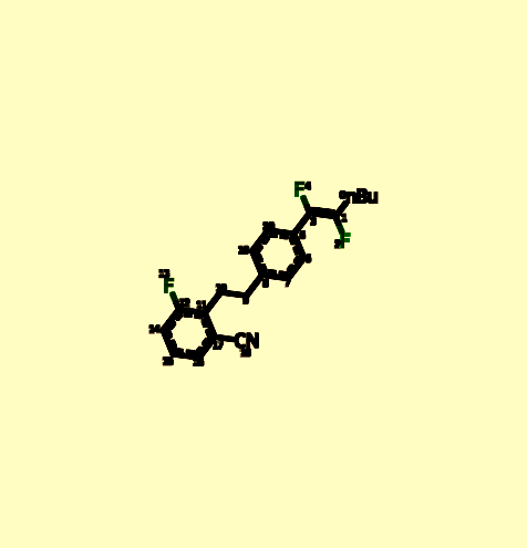 CCCCC(F)=C(F)c1ccc(CCc2c(F)cccc2C#N)cc1